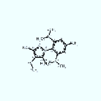 CN(C)c1cc(C(F)(F)F)cc(N(C)C)c1-n1nc(C#N)c(SC(F)(F)F)c1N